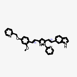 COc1cc(OCc2ccccn2)ccc1/C=C/c1cc(/C=C/c2ccc3cc[nH]c3c2)n(-c2ccccn2)n1